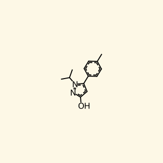 Cc1ccc(-c2cc(O)nn2C(C)C)cc1